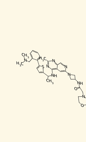 Cc1nc(NC(C)c2ccc(-c3ccccc3CN(C)C)s2)c2cc(N3CC(NC(=O)CN4CCOCC4)C3)ncc2n1